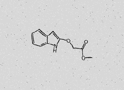 COC(=O)COc1cc2ccccc2[nH]1